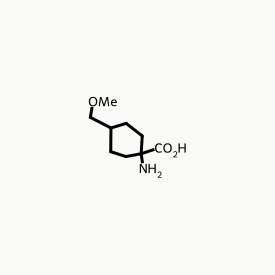 COCC1CCC(N)(C(=O)O)CC1